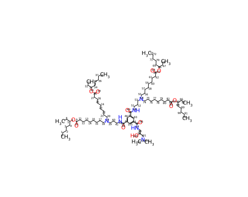 CCCCCC(CC)OC(=O)CCCCCCCCN(CCCCCCCCC(=O)OC(CC)CCCCC)CCCNC(=O)c1cc(C(=O)NCCCN(CCCCCCCCC(=O)OC(CC)CCCCC)CCCCCCCCC(=O)OC(CC)CCCCC)cc(C(=O)NCC(O)CN(C)C)c1